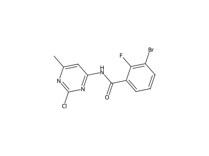 Cc1cc(NC(=O)c2cccc(Br)c2F)nc(Cl)n1